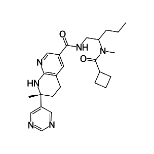 CCCC(CNC(=O)c1cnc2c(c1)CC[C@](C)(c1cncnc1)N2)N(C)C(=O)C1CCC1